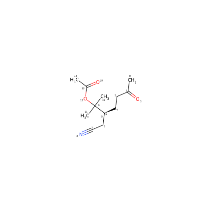 CC(=O)CC[C@@H](CC#N)C(C)(C)OC(C)=O